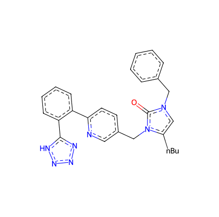 CCCCc1cn(Cc2ccccc2)c(=O)n1Cc1ccc(-c2ccccc2-c2nnn[nH]2)nc1